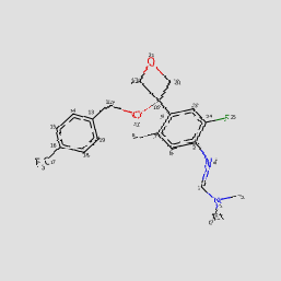 CCN(C)C=Nc1cc(C)c(C2(OCc3ccc(C(F)(F)F)cc3)COC2)cc1F